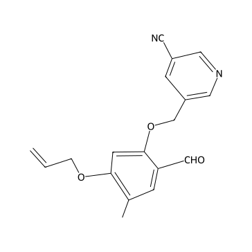 C=CCOc1cc(OCc2cncc(C#N)c2)c(C=O)cc1C